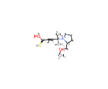 COCC1CCCN1C(C)(C)C#CC(O)=S